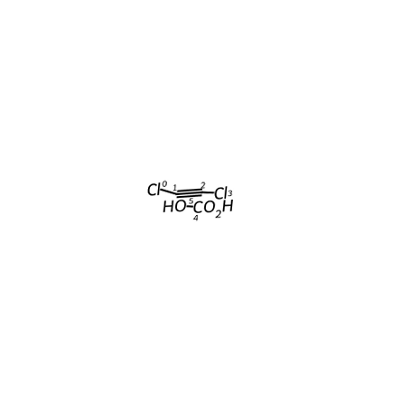 ClC#CCl.O=C(O)O